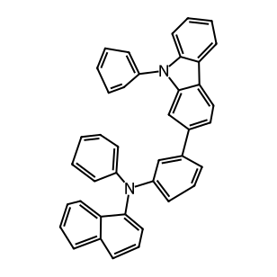 c1ccc(N(c2cccc(-c3ccc4c5ccccc5n(-c5ccccc5)c4c3)c2)c2cccc3ccccc23)cc1